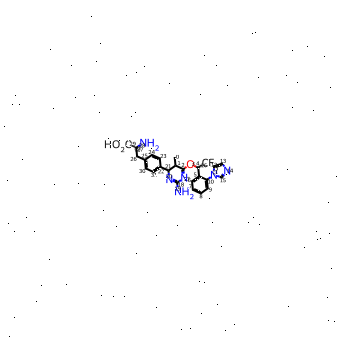 CC1C(OC(c2ccccc2-n2ccnc2)C(F)(F)F)=NC(N)=NC1c1ccc(C[C@H](N)C(=O)O)cc1